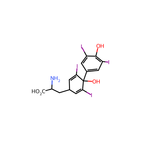 NC(CC1C=C(I)C(O)(c2cc(I)c(O)c(I)c2)C(I)=C1)C(=O)O